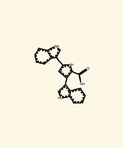 O=C(O)c1[nH]c(-c2c[nH]c3ccccc23)cc1-c1c[nH]c2ccccc12